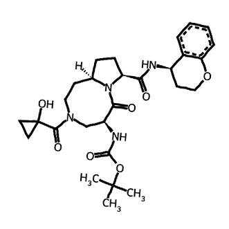 CC(C)(C)OC(=O)N[C@H]1CN(C(=O)C2(O)CC2)CC[C@H]2CC[C@@H](C(=O)N[C@@H]3CCOc4ccccc43)N2C1=O